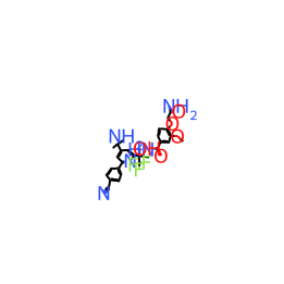 COc1cc(C(=O)NCC(O)(c2cc(C(C)(C)N)cc(-c3ccc(C#N)cc3)n2)C(F)(F)F)ccc1OCC(N)=O